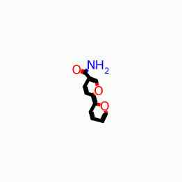 NC(=O)C1=COC(=C2C=CC=CO2)C=C1